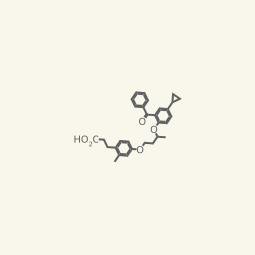 Cc1cc(OCCC(C)Oc2ccc(C3CC3)cc2C(=O)c2ccccc2)ccc1CCC(=O)O